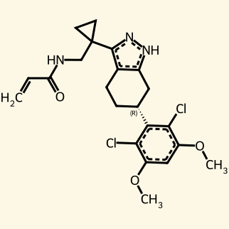 C=CC(=O)NCC1(c2n[nH]c3c2CC[C@@H](c2c(Cl)c(OC)cc(OC)c2Cl)C3)CC1